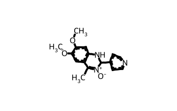 COc1cc2c(cc1OC)C(C)=[N+]([O-])C(c1ccncc1)N2